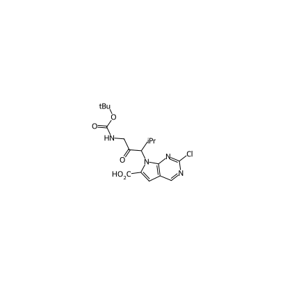 CC(C)C(C(=O)CNC(=O)OC(C)(C)C)n1c(C(=O)O)cc2cnc(Cl)nc21